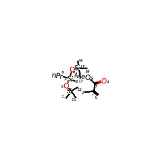 C=C(C)C(=O)OC.CCC[Si](C)(O[Si](C)(C)C)O[Si](C)(C)C